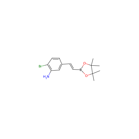 CC1(C)OB(C=Cc2ccc(Br)c(N)c2)OC1(C)C